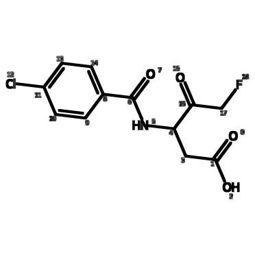 O=C(O)CC(NC(=O)c1ccc(Cl)cc1)C(=O)CF